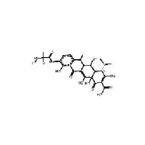 CCNC(C)(CC)C(=O)Nc1ccc2c(c1O)C(=O)C1=C(O)C3(O)C(=O)C(C(N)=O)=C(O)[C@@H](N(C)C)C3C(O)C1C2C